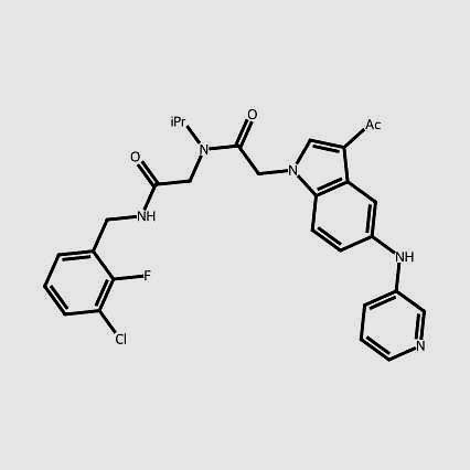 CC(=O)c1cn(CC(=O)N(CC(=O)NCc2cccc(Cl)c2F)C(C)C)c2ccc(Nc3cccnc3)cc12